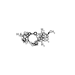 CC#CC(=O)N1C[C@H](C)C(O)(C(=O)N(C)[C@H](C(=O)N[C@H]2Cc3cccc(c3)-c3ccc4c(c3)c(c(-c3cccnc3[C@H](C)OC)n4CC)CC(C)(C)COC(=O)[C@@]3(O)CCCN(N3)C2=O)C(C)C)C1